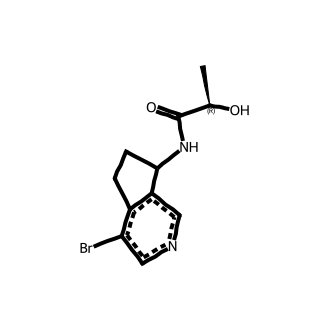 C[C@@H](O)C(=O)NC1CCc2c(Br)cncc21